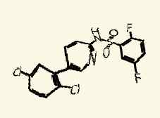 O=S(=O)(Nc1ccc(-c2cc(Cl)ccc2Cl)cn1)c1cc(F)ccc1F